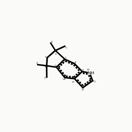 CC1(C)CC(C)(C)c2cc3[nH]ccc3cc21